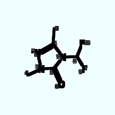 Cc1nn(C)c(=O)n1C(F)F